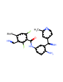 CNc1cc(F)c(C(=O)Nc2ccc(N)c(C(=N)c3ccnc(C)c3)c2)c(F)c1C=N